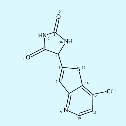 O=C1NC(=O)C(c2cc3nccc(Cl)c3s2)N1